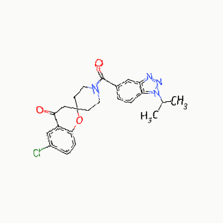 CC(C)n1nnc2cc(C(=O)N3CCC4(CC3)CC(=O)c3cc(Cl)ccc3O4)ccc21